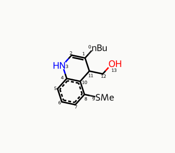 CCCCC1=CNc2cccc(SC)c2C1CO